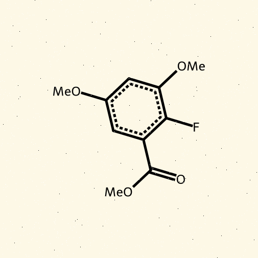 COC(=O)c1cc(OC)cc(OC)c1F